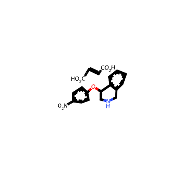 O=C(O)C=CC(=O)O.O=[N+]([O-])c1ccc(OC2CNCc3ccccc32)cc1